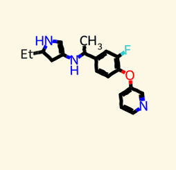 CCC1CC(NC(C)c2ccc(Oc3cccnc3)c(F)c2)=CN1